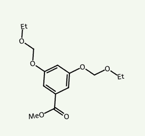 CCOCOc1cc(OCOCC)cc(C(=O)OC)c1